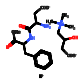 COC(=O)C(Cc1ccccc1)NC(=O)C(N)CC(=O)[O-].C[N+](C)(C)CC(O)CC(=O)[O-].[K+]